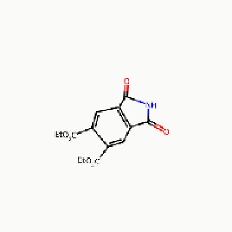 CCOC(=O)c1cc2c(cc1C(=O)OCC)C(=O)NC2=O